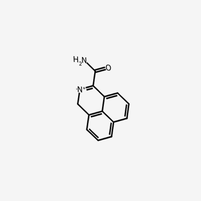 NC(=O)C1=[N+]Cc2cccc3cccc1c23